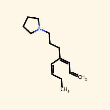 C=C/C=C(\C=C/CC)CCCN1CCCC1